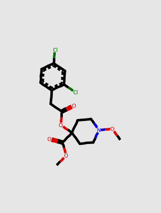 COC(=O)C1(OC(=O)Cc2ccc(Cl)cc2Cl)CCN(OC)CC1